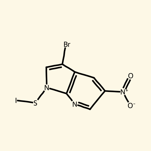 O=[N+]([O-])c1cnc2c(c1)c(Br)cn2SI